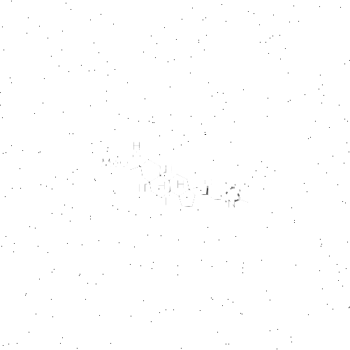 COC[C@@]1(O)CC[C@H]2[C@H](CC[C@@H]3[C@@H]2CC[C@]2(C)[C@@H](C(=O)Cn4nnc(C)n4)CC[C@@H]32)C1